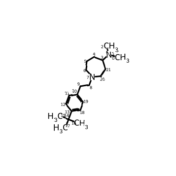 CN(C)C1CCCN(CCc2ccc(C(C)(C)C)cc2)CC1